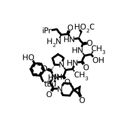 CC(C)C[C@H](N)C(=O)N[C@@H](CC(=O)O)C(=O)N[C@H](C(=O)N[C@@H](C)[C@@H](C(=O)NC(C)(C)C)N1CCC[C@H]1C(=O)N[C@@H](Cc1ccc(O)cc1)C(=O)N1CCC2(CC1)CC2=O)[C@@H](C)O